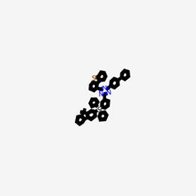 CC1(C)c2ccccc2-c2ccc([Si](c3ccccc3)(c3ccccc3)c3cccc(-c4nc(-c5ccc(-c6ccccc6)cc5)nc(-c5cccc6sc7ccccc7c56)n4)c3)cc21